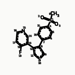 CS(=O)(=O)c1ccc(-c2cscc2-c2cnccc2F)cc1